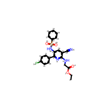 CCOC(=O)CNc1nc(-c2ccc(F)cc2)c(NS(=O)(=O)c2ccccc2)cc1C#N